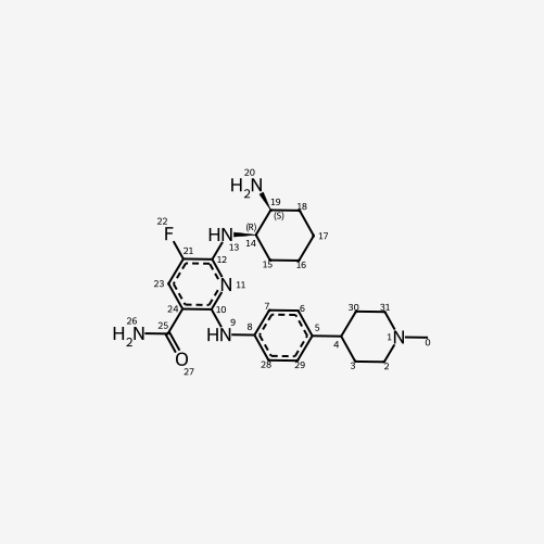 CN1CCC(c2ccc(Nc3nc(N[C@@H]4CCCC[C@@H]4N)c(F)cc3C(N)=O)cc2)CC1